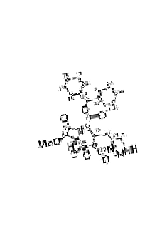 CO[C@H]1C(=O)N2C(C(=O)OC(c3ccccc3)c3ccccc3)=C(Cc3c[nH]nn3)C(=C=O)S(=O)(=O)[C@H]12